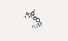 COc1c(Br)cc(I)cc1-c1ccc2cc(NS(C)(=O)=O)ccc2c1